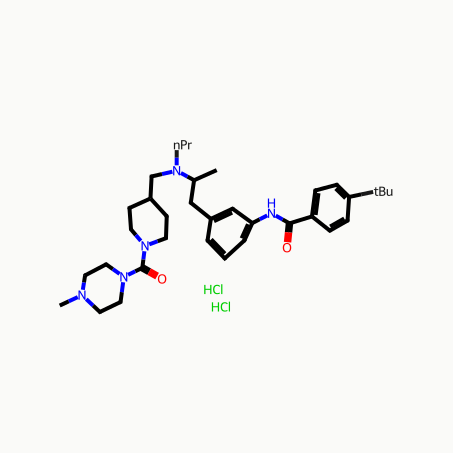 CCCN(CC1CCN(C(=O)N2CCN(C)CC2)CC1)C(C)Cc1cccc(NC(=O)c2ccc(C(C)(C)C)cc2)c1.Cl.Cl